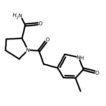 Cc1cc(CC(=O)N2CCCC2C(N)=O)c[nH]c1=O